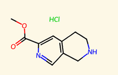 COC(=O)c1cc2c(cn1)CNCC2.Cl